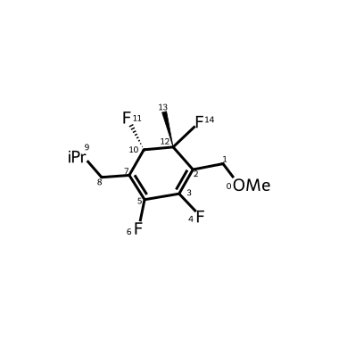 COCC1=C(F)C(F)=C(CC(C)C)[C@H](F)[C@]1(C)F